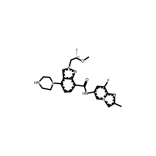 CO[C@@H](C)Cn1cc2c(N3CCNCC3)ccc(C(=O)Nc3cc(F)c4nc(C)cn4c3)c2n1